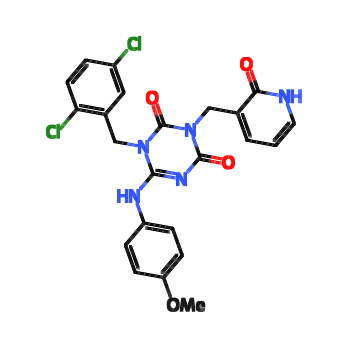 COc1ccc(Nc2nc(=O)n(Cc3ccc[nH]c3=O)c(=O)n2Cc2cc(Cl)ccc2Cl)cc1